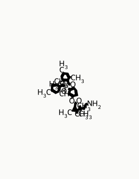 Cc1cc(C)c(C(=O)P(=O)(C(=O)c2c(C)cc(C)cc2C)c2cccc(OC(=O)C3[C@H](C)C3(C)C(C)(C)CCN)c2)c(C)c1